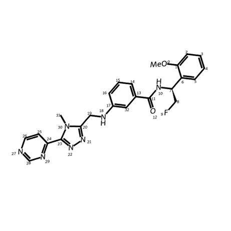 COc1ccccc1[C@@H](CF)NC(=O)c1cccc(NCc2nnc(-c3ccncn3)n2C)c1